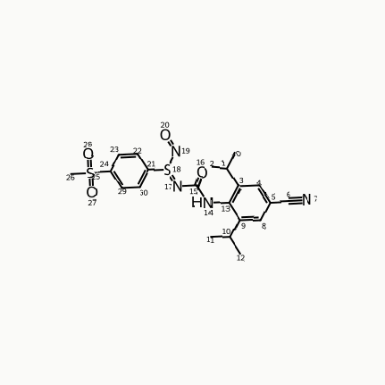 CC(C)c1cc(C#N)cc(C(C)C)c1NC(=O)/N=S(\N=O)c1ccc(S(C)(=O)=O)cc1